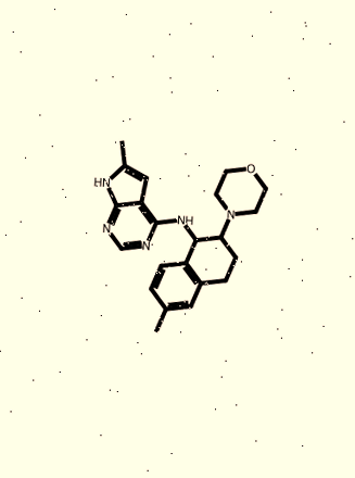 Cc1ccc2c(c1)CCC(N1CCOCC1)C2Nc1ncnc2[nH]c(C)cc12